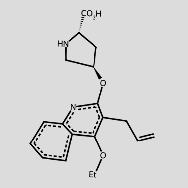 C=CCc1c(O[C@H]2CN[C@H](C(=O)O)C2)nc2ccccc2c1OCC